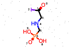 O=C(I)CNCP(=O)(O)O